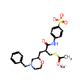 CC(=O)SCC(CC1CN(Cc2ccccc2)CCO1)C(=O)Nc1ccc(S(=O)(=O)[O-])cc1.[Na+]